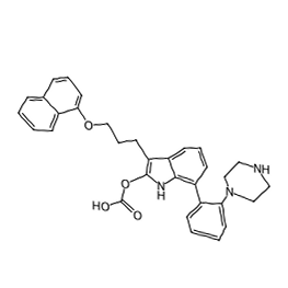 O=C(O)Oc1[nH]c2c(-c3ccccc3N3CCNCC3)cccc2c1CCCOc1cccc2ccccc12